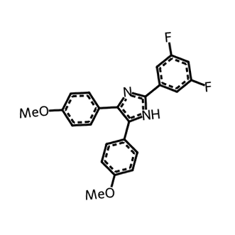 COc1ccc(-c2nc(-c3cc(F)cc(F)c3)[nH]c2-c2ccc(OC)cc2)cc1